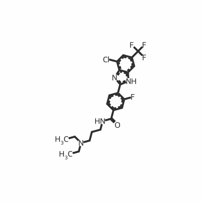 CCN(CC)CCCNC(=O)c1ccc(-c2nc3c(Cl)cc(C(F)(F)F)cc3[nH]2)c(F)c1